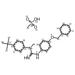 CN(C(=N)Nc1ccc(OCc2ccccc2)cc1)c1ccc(C(C)(C)C)cc1.CS(=O)(=O)O